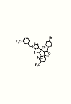 Cc1noc(-c2ccc(Br)cc2)c1C(O)(c1cn(Cc2cccc(C(F)(F)F)c2)nn1)C(Br)c1cccc(C(F)(F)F)c1